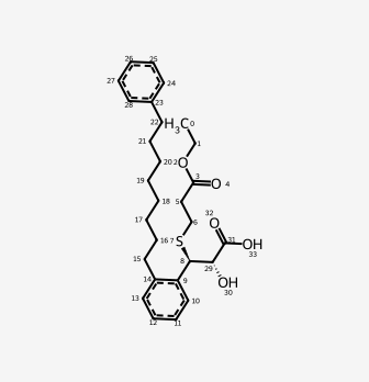 CCOC(=O)CCS[C@H](c1ccccc1CCCCCCCCc1ccccc1)[C@@H](O)C(=O)O